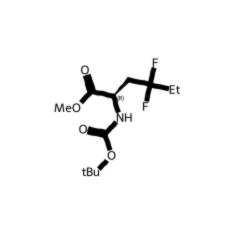 CCC(F)(F)C[C@@H](NC(=O)OC(C)(C)C)C(=O)OC